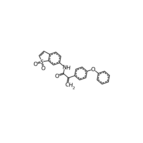 C=C(C(=O)Nc1ccc2c(c1)S(=O)(=O)C=C2)c1ccc(Oc2ccccc2)cc1